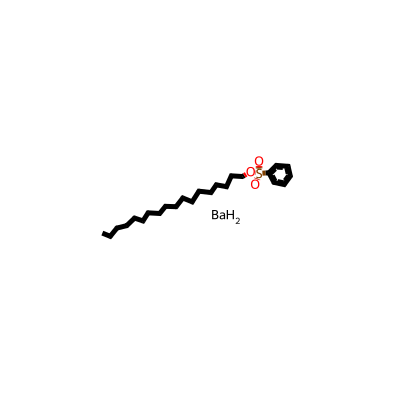 CCCCCCCCCCCCCCCCCCOS(=O)(=O)c1ccccc1.[BaH2]